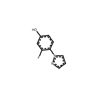 Oc1ccc(-n2cc[c]n2)c(F)c1